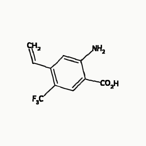 C=Cc1cc(N)c(C(=O)O)cc1C(F)(F)F